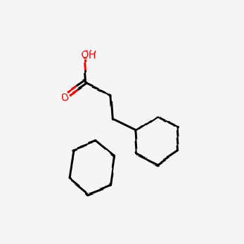 C1CCCCC1.O=C(O)CCC1CCCCC1